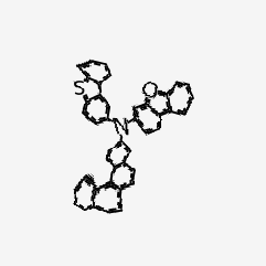 c1ccc2c(c1)ccc1ccc3cc(N(c4ccc5c(c4)oc4ccccc45)c4ccc5sc6ccccc6c5c4)ccc3c12